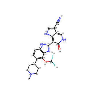 CN1CCC(c2ccc3[nH]c(-c4c(=O)[nH]cc5c(C#N)c[nH]c45)nc3c2OC(F)F)CC1